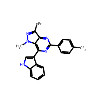 CCCc1nn(C)c2c(-c3c[nH]c4ccccc34)nc(-c3ccc(C(F)(F)F)cc3)nc12